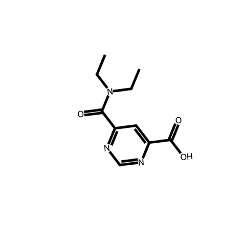 CCN(CC)C(=O)c1cc(C(=O)O)ncn1